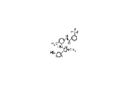 Cc1ccc(NC(=O)c2cccc(C(F)(F)F)c2)cc1Nc1nn(C)cc1-c1cc(S)ncn1